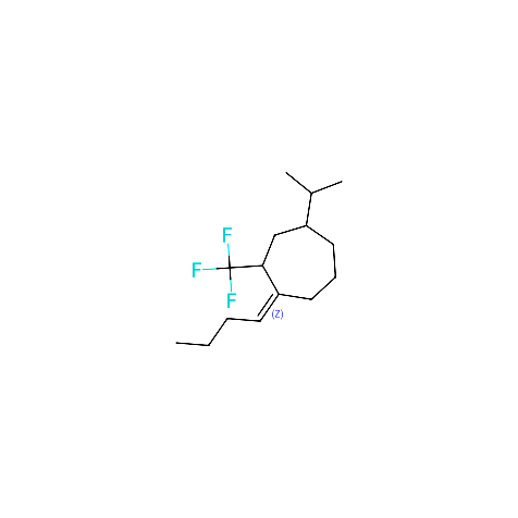 CCC/C=C1/CCCC(C(C)C)CC1C(F)(F)F